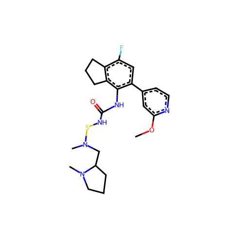 COc1cc(-c2cc(F)c3c(c2NC(=O)NSN(C)CC2CCCN2C)CCC3)ccn1